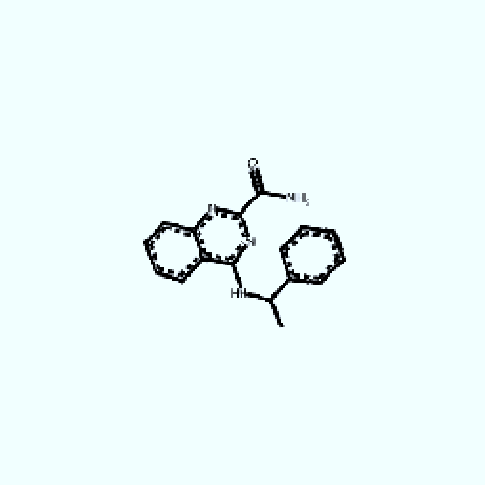 CC(Nc1nc(C(N)=O)nc2cc[c]cc12)c1ccccc1